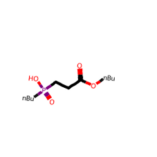 CCCCOC(=O)CCP(=O)(O)CCCC